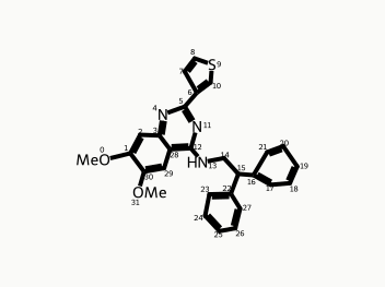 COc1cc2nc(-c3ccsc3)nc(NCC(c3ccccc3)c3ccccc3)c2cc1OC